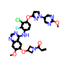 C=CC(=O)N1CC(Oc2cc3c(Nc4ccc(Oc5ccn(-c6cnc(OC)nc6)n5)c(Cl)c4F)ncnc3cc2OC)C1